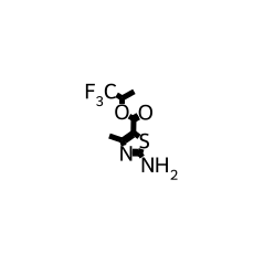 Cc1nc(N)sc1C(=O)OC(C)C(F)(F)F